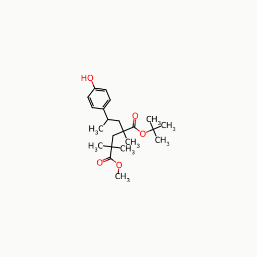 COC(=O)C(C)(C)CC(C)(CC(C)c1ccc(O)cc1)C(=O)OC(C)(C)C